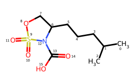 CC(C)CCCC1COS(=O)(=O)N1C(=O)O